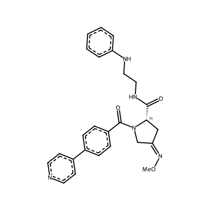 CON=C1C[C@@H](C(=O)NCCNc2ccccc2)N(C(=O)c2ccc(-c3ccncc3)cc2)C1